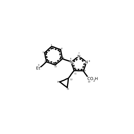 CCc1cccc(-n2nnc(C(=O)O)c2C2CC2)c1